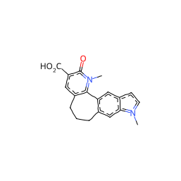 Cn1c2c(cc(C(=O)O)c1=O)CCCc1cc3c(ccn3C)cc1-2